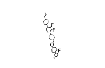 C/C=C/C1CCC(c2ccc(C3CCC(COc4ccc(OCC)c(F)c4)CC3)c(F)c2F)CC1